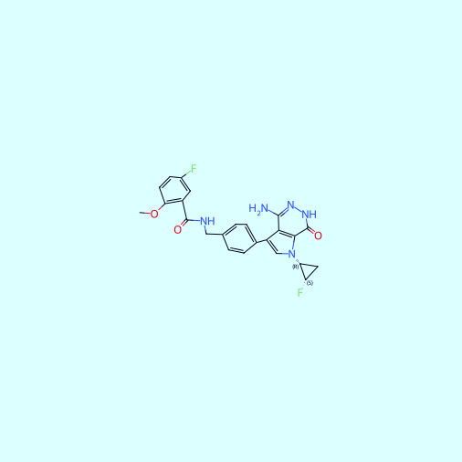 COc1ccc(F)cc1C(=O)NCc1ccc(-c2cn([C@@H]3C[C@@H]3F)c3c(=O)[nH]nc(N)c23)cc1